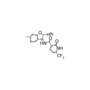 CCCC1Oc2cc(C)ccc2[C@H]1NC(=O)c1ccc(C(F)(F)F)[nH]c1=O